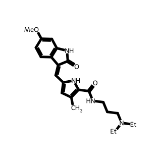 CCN(CC)CCCNC(=O)c1[nH]c(C=C2C(=O)Nc3cc(OC)ccc32)cc1C